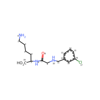 NCCCCC(NC(=O)CNCc1cccc(Cl)c1)C(=O)O